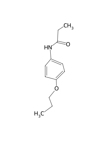 CCCOc1ccc(NC(=O)CC)cc1